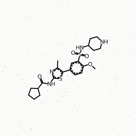 COc1ccc(-c2sc(NC(=O)C3CCCC3)nc2C)cc1S(=O)(=O)NC1CCNCC1